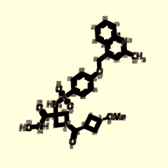 CO[C@H]1C[C@H](C(=O)N2CC(NS(=O)(=O)c3ccc(OCc4cc(C)nc5ccccc45)cc3)(C(=O)NO)C2)C1